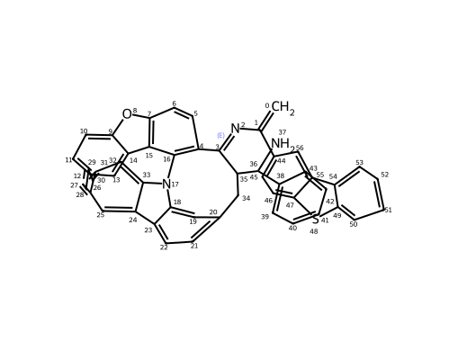 C=C(/N=C1/c2ccc3oc4ccccc4c3c2-n2c3cc(ccc3c3cc4ccccc4cc32)CC1C(N)c1ccccc1)c1ccc2sc3ccccc3c2c1